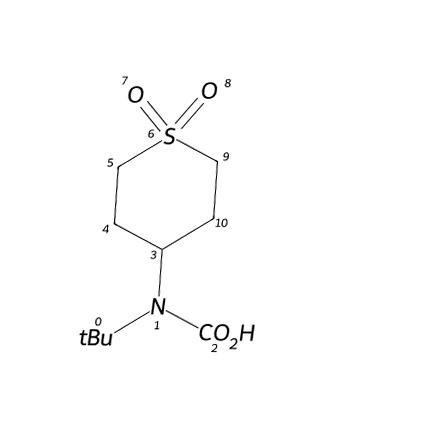 CC(C)(C)N(C(=O)O)C1CCS(=O)(=O)CC1